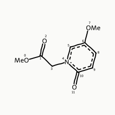 COC(=O)Cn1cc(OC)ccc1=O